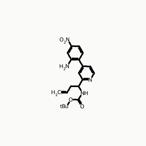 C=CCC(NC(=O)OC(C)(C)C)c1cc(-c2ccc([N+](=O)[O-])cc2N)ccn1